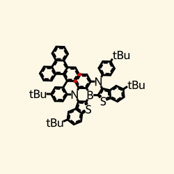 CC(C)(C)c1ccc(N2c3cccc4c3B(c3sc5ccc(C(C)(C)C)cc5c32)c2sc3ccc(C(C)(C)C)cc3c2N4c2ccc(C(C)(C)C)cc2-c2cccc3c4ccccc4c4ccccc4c23)cc1